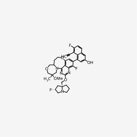 C#Cc1c(F)ccc2cc(O)cc(-c3cc4c5c(nc(OC[C@@]67CCCN6C[C@H](F)C7)nc5c3F)N3CC(C)(OC)COCC3CCO4)c12